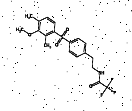 COc1c(C)ccc(S(=O)(=O)c2ccc(CCNC(=O)C(F)(F)F)cc2)c1C